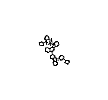 c1ccc(-c2cccc(-n3c4ccccc4c4ccc(-c5cc6c7ccccc7n(-c7nc(-c8ccccc8)c8ccccc8n7)c6c6ccccc56)cc43)c2)cc1